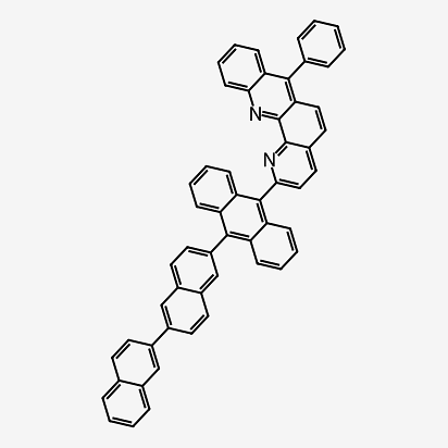 c1ccc(-c2c3ccccc3nc3c2ccc2ccc(-c4c5ccccc5c(-c5ccc6cc(-c7ccc8ccccc8c7)ccc6c5)c5ccccc45)nc23)cc1